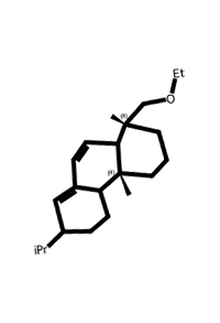 CCOC[C@]1(C)CCC[C@]2(C)C3CCC(C(C)C)C=C3C=CC12